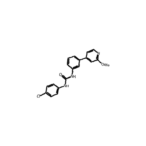 COc1cc(-c2cccc(NC(=O)Nc3ccc(Cl)cc3)c2)ccn1